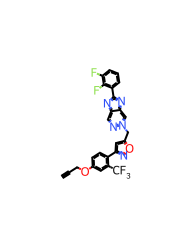 C#CCOc1ccc(-c2cc(Cn3cc4nc(-c5cccc(F)c5F)nc-4cn3)on2)c(C(F)(F)F)c1